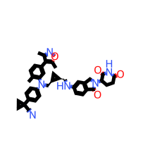 Cc1ccc(-c2c(C)noc2C)cc1N(C[C@H]1C[C@@H]1CNc1ccc2c(c1)CN(C1CCC(=O)NC1=O)C2=O)c1ccc(C2(C#N)CC2)cc1